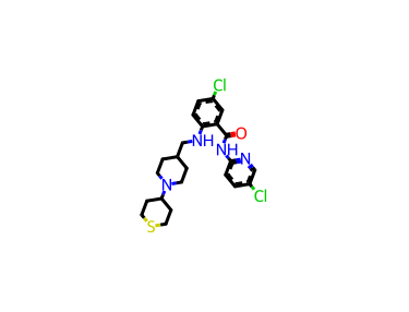 O=C(Nc1ccc(Cl)cn1)c1cc(Cl)ccc1NCC1CCN(C2CCSCC2)CC1